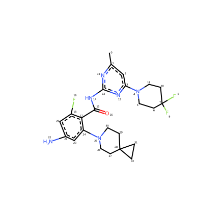 Cc1cc(N2CCC(F)(F)CC2)nc(NC(=O)c2c(F)cc(N)cc2N2CCC3(CC2)CC3)n1